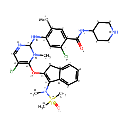 COc1cc(C(=O)NC2CCNCC2)c(Cl)cc1NC1N=CC(Cl)=C(OC2=C(N(C)[SH](C)(C)=O)c3ccccc3C2)N1C